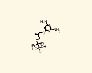 C=C(COc1cc(N)nc(N)n1)COC(C(C)C)(C(C)C)P(=O)(O)O